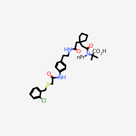 CCCN(C(=O)CC1(CC(=O)NCCc2ccc(NC(=O)CSCc3ccccc3Cl)cc2)CCCC1)C(C)(C)C(=O)O